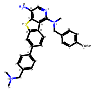 COc1ccc(CN(C)c2ncc(N)c3sc4cc(-c5ccc(CN(C)C)cc5)ccc4c23)cc1